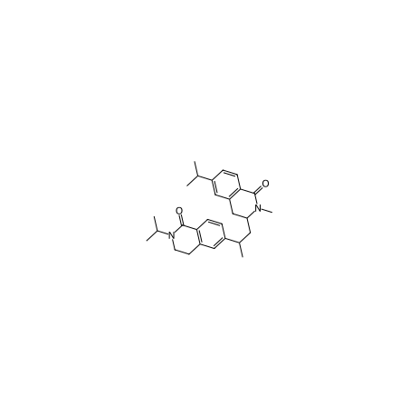 CC(C)c1ccc2c(c1)CC(CC(C)c1ccc3c(c1)CCN(C(C)C)C3=O)N(C)C2=O